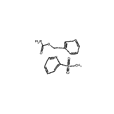 CS(=O)(=O)c1ccccn1.NC(=O)OCc1ccccc1